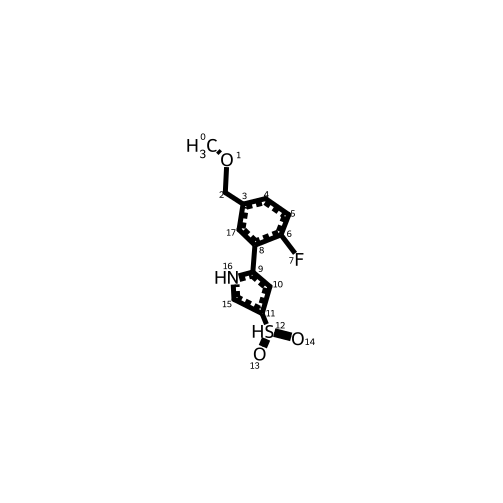 COCc1ccc(F)c(-c2cc([SH](=O)=O)c[nH]2)c1